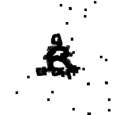 CC[C@@H](O)c1cc(Cl)ccc1Br